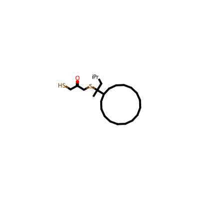 CC(C)CC(C)(SCC(=O)CS)C1CCCCCCCCCCCCCCC1